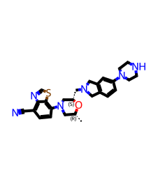 C[C@@H]1CN(c2ccc(C#N)c3ncsc23)C[C@H](CN2Cc3ccc(N4CCNCC4)cc3C2)O1